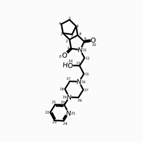 O=C1C2C3CCC(C3)C2C(=O)N1CC(O)CN1CCN(c2ccccn2)CC1